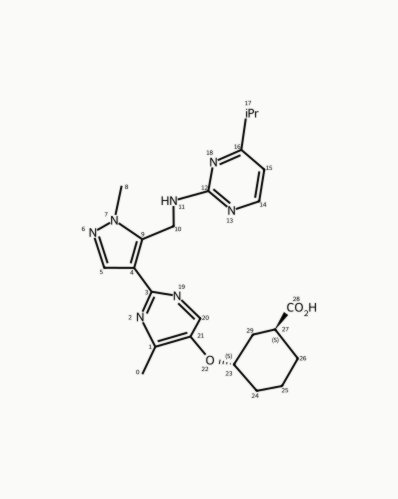 Cc1nc(-c2cnn(C)c2CNc2nccc(C(C)C)n2)ncc1O[C@H]1CCC[C@H](C(=O)O)C1